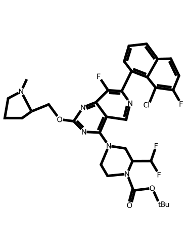 CN1CCCC1COc1nc(N2CCN(C(=O)OC(C)(C)C)C(C(F)F)C2)c2cnc(-c3cccc4ccc(F)c(Cl)c34)c(F)c2n1